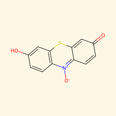 O=c1ccc2[n+]([O-])c3ccc(O)cc3sc-2c1